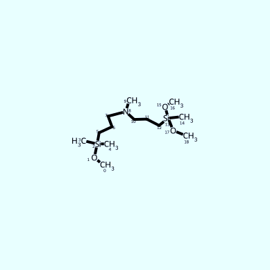 CO[Si](C)(C)CCCN(C)CCC[Si](C)(OC)OC